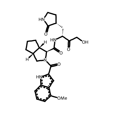 COc1cccc2[nH]c(C(=O)N3C[C@@H]4CCC[C@@H]4[C@H]3C(=O)N[C@H](C[C@H]3CCNC3=O)C(=O)CO)cc12